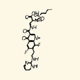 CCCCS(=O)(=O)NC(CNC(=O)c1cn(C)c2c(F)c(CCNC3N=CCCN3)c(F)cc2c1=O)C(=O)O